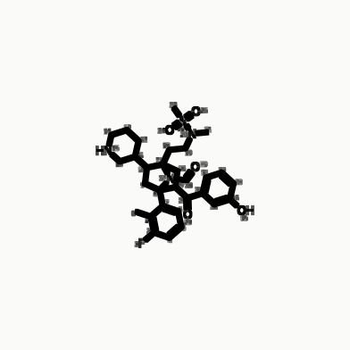 Cc1c(F)cccc1C12CC(C3CCCNC3)C(CCN(C)S(C)(=O)=O)(CC1C(=O)c1cccc(O)c1)N2C=O